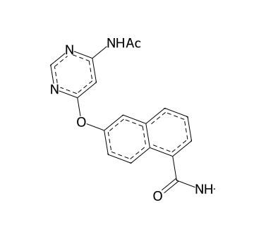 CC(=O)Nc1cc(Oc2ccc3c(C([NH])=O)cccc3c2)ncn1